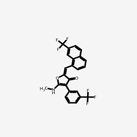 CNC1=C(c2cccc(C(F)(F)F)c2)C(=O)C(=Cc2cccc3ccc(C(F)(F)F)cc23)O1